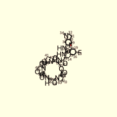 C[C@H]1C[C@H]2C(=O)O[C@@H](C)[C@H](NC(=O)[C@H](Cc3cc(F)cc(F)c3)NC(=O)Nc3ccc4ccn(C)c4c3)C(=O)N3CCC[C@H]3C(=O)N3CCOC[C@H]3C(=O)N[C@@H](C)C(=O)N2C1